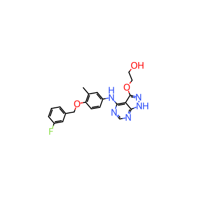 Cc1cc(Nc2ncnc3[nH]nc(OCCO)c23)ccc1OCc1cccc(F)c1